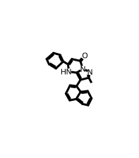 Cc1nn2c(=O)cc(-c3ccccc3)[nH]c2c1-c1cccc2ccccc12